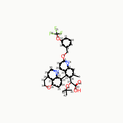 Cc1cc2nc(OCc3cccc(OC(F)(F)F)c3)ccc2c(-c2ccc3c4c(ccnc24)CCO3)c1C(OC(C)(C)C)C(=O)O